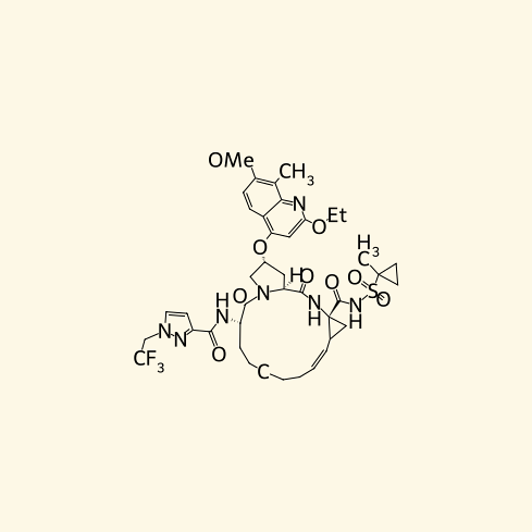 CCOc1cc(O[C@@H]2C[C@H]3C(=O)N[C@]4(C(=O)NS(=O)(=O)C5(C)CC5)CC4/C=C\CCCCC[C@H](NC(=O)c4ccn(CC(F)(F)F)n4)C(=O)N3C2)c2ccc(OC)c(C)c2n1